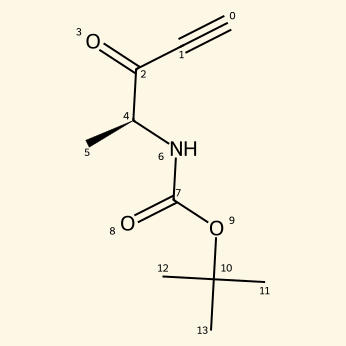 C#CC(=O)[C@H](C)NC(=O)OC(C)(C)C